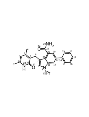 Cc1cc(C)c(Cc2cn(C(C)C)c3cc(-c4ccccc4)cc(C(N)=O)c23)c(=O)[nH]1